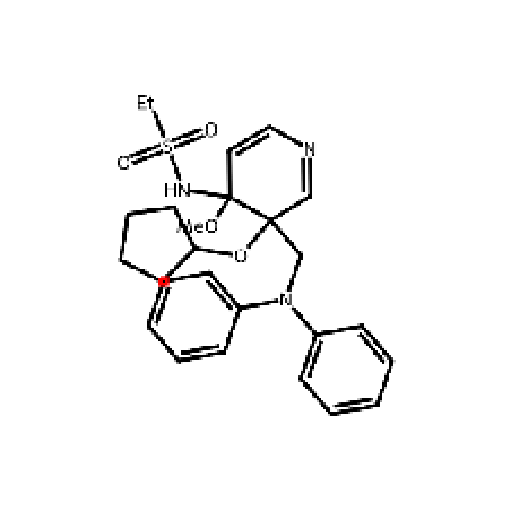 CCS(=O)(=O)NC1(OC)C=CN=CC1(CN(c1ccccc1)c1ccccc1)OC1CCCC1